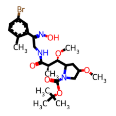 COC1CC([C@H](OC)[C@@H](C)C(=O)NC/C(=N\O)c2cc(Br)ccc2C)N(C(=O)OC(C)(C)C)C1